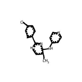 Cc1cnc(-c2ccc(Cl)cc2)nc1Nc1ccncc1